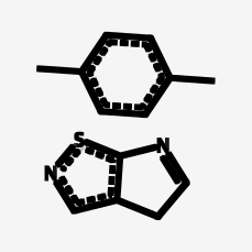 C1=Nc2sncc2C1.Cc1ccc(C)cc1